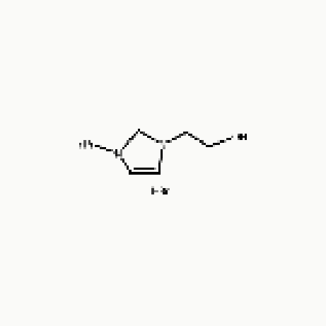 Br.CCCN1C=CN(CCO)C1